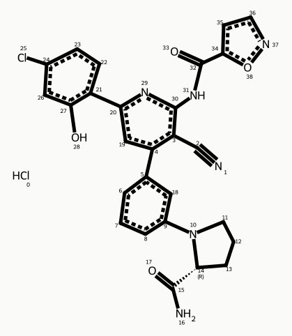 Cl.N#Cc1c(-c2cccc(N3CCC[C@@H]3C(N)=O)c2)cc(-c2ccc(Cl)cc2O)nc1NC(=O)c1ccno1